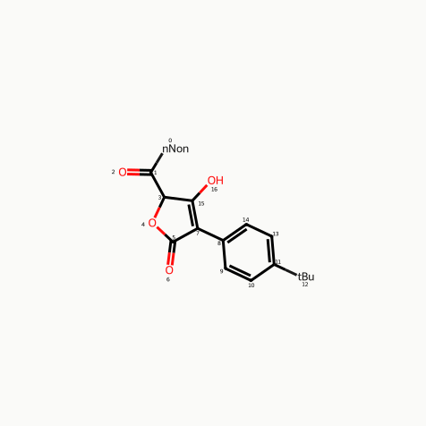 CCCCCCCCCC(=O)C1OC(=O)C(c2ccc(C(C)(C)C)cc2)=C1O